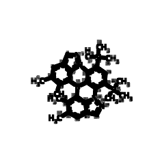 Cc1cc2cnn3c2c(c1C)B1c2c-3c([Si](C)(C)C)cc([Si](C)(C)C)c2-n2ncc3cc(C)c(C)c1c32